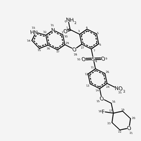 NC(=O)c1cccc(S(=O)(=O)c2ccc(OCC3(F)CCOCC3)c([N+](=O)[O-])c2)c1Oc1cnc2[nH]ccc2c1